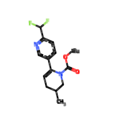 CC1CC=C(c2ccc(C(F)F)nc2)N(C(=O)OC(C)(C)C)C1